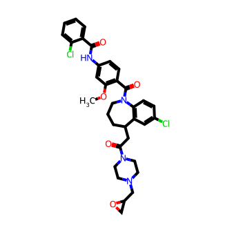 COc1cc(NC(=O)c2ccccc2Cl)ccc1C(=O)N1CCCC(CC(=O)N2CCN(CC3CO3)CC2)c2cc(Cl)ccc21